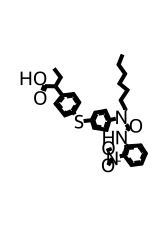 CCCCCCCN(C(=O)Nc1ccccc1[N+](=O)[O-])c1ccc(Sc2ccc(C(CC)C(=O)O)cc2)cc1